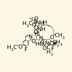 CCOc1cc2ccnc(O[C@@H]3C[C@H]4C(=O)N[C@]5(C(=O)NS(=O)(=O)C6(C)CC6)C[C@H]5/C=C\CC[C@@H](C)O[C@@H](CC)[C@H](N(C(=O)O)C(C)(C)C(F)F)C(=O)N4C3)c2cc1F